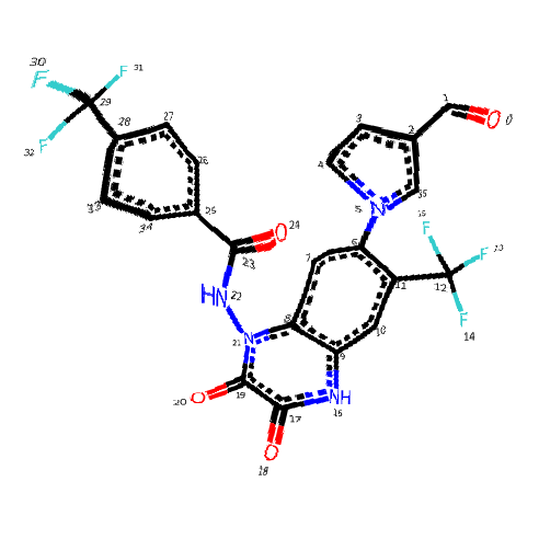 O=Cc1ccn(-c2cc3c(cc2C(F)(F)F)[nH]c(=O)c(=O)n3NC(=O)c2ccc(C(F)(F)F)cc2)c1